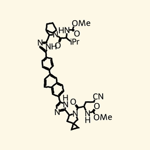 COC(=O)NC(CCC#N)C(=O)N1CC2(CC2)CC1c1ncc(-c2ccc3cc(-c4ccc(-c5cnc(C6C7CCC(C7)N6C(=O)C(NC(=O)OC)C(C)C)[nH]5)cc4)ccc3c2)[nH]1